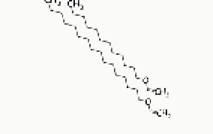 C=COCCCCCCCCCCCC.C=COCCCCCCCCCCCCCCCC